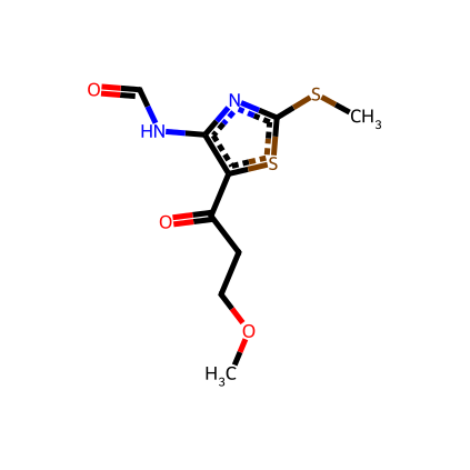 COCCC(=O)c1sc(SC)nc1NC=O